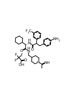 CC(=N)N1CCC(CNC(=O)[C@@H](NC(=O)C(Cc2ccc(N)cc2)c2cccc(C(F)(F)F)c2)C2CCCCC2)CC1.O=C(O)C(F)(F)F